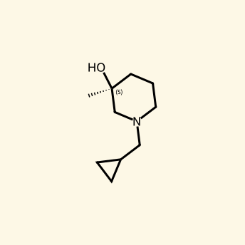 C[C@]1(O)CCCN(CC2CC2)C1